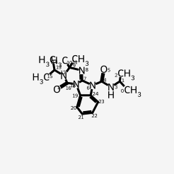 CC(C)NC(=O)N1C2=NC(C)(C)N(C(C)C)C(=O)N2c2ccccc21